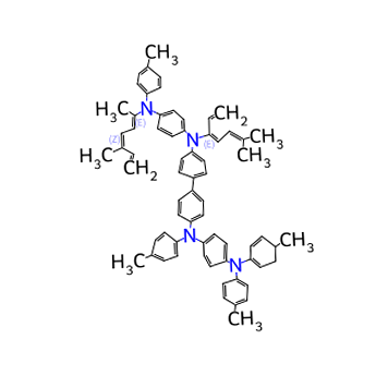 C=C/C(C)=C\C=C(/C)N(c1ccc(C)cc1)c1ccc(N(/C(C=C)=C/C=C(C)C)c2ccc(-c3ccc(N(c4ccc(C)cc4)c4ccc(N(C5=CCC(C)C=C5)c5ccc(C)cc5)cc4)cc3)cc2)cc1